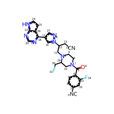 [C-]#[N+]c1ccc(C(=O)N2CCN(CC(CC#N)n3cc(-c4ncnc5[nH]ccc45)cn3)C(CF)C2)c(F)c1